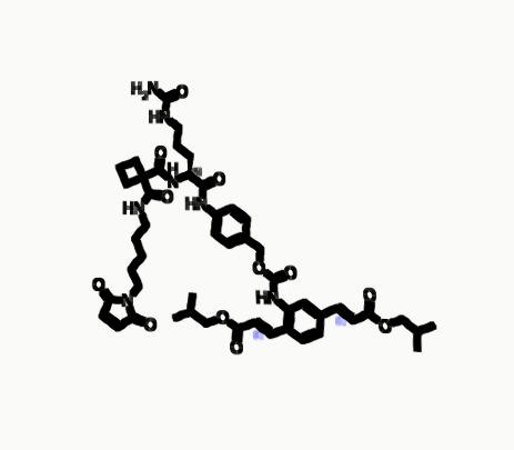 CC(C)COC(=O)/C=C/c1ccc(/C=C/C(=O)OCC(C)C)c(NC(=O)OCc2ccc(NC(=O)[C@H](CCCNC(N)=O)NC(=O)C3(C(=O)NCCCCCN4C(=O)C=CC4=O)CCC3)cc2)c1